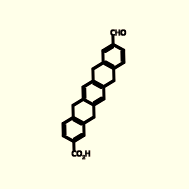 O=Cc1ccc2c(c1)Cc1cc3c(cc1C2)Cc1cc(C(=O)O)ccc1C3